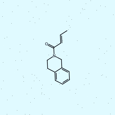 C/C=C/C(=O)N1CCc2ccccc2C1